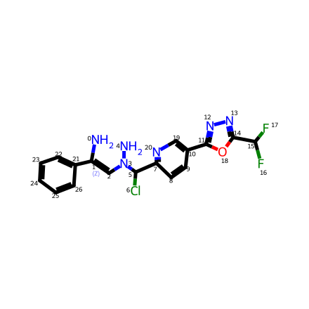 N/C(=C\N(N)C(Cl)c1ccc(-c2nnc(C(F)F)o2)cn1)c1ccccc1